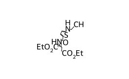 C#CCNc1ccc(C(=O)N[C@@H](CCC(=O)OCC)C(=O)OCC)s1